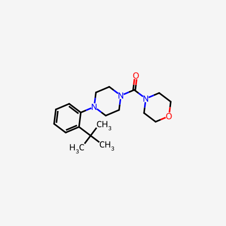 CC(C)(C)c1ccccc1N1CCN(C(=O)N2CCOCC2)CC1